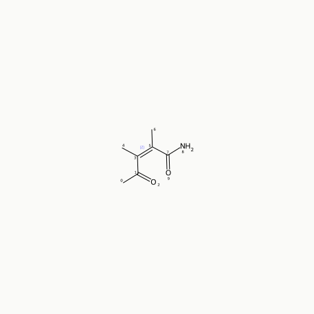 CC(=O)/C(C)=C(/C)C(N)=O